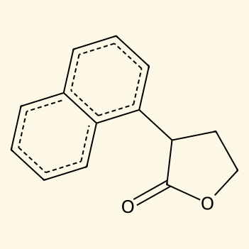 O=C1OCCC1c1cccc2ccccc12